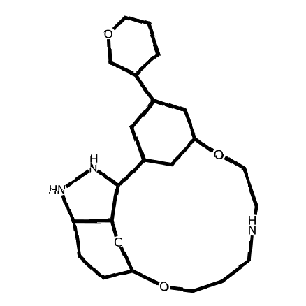 C1CNCCOC2CC(C3CCCOC3)CC(C2)C2NNC3CCC(CC32)OC1